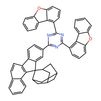 c1ccc2c3c(ccc2c1)-c1ccc(-c2nc(-c4cccc5oc6ccccc6c45)nc(-c4cccc5oc6ccccc6c45)n2)cc1C31C2CC3CC(C2)CC1C3